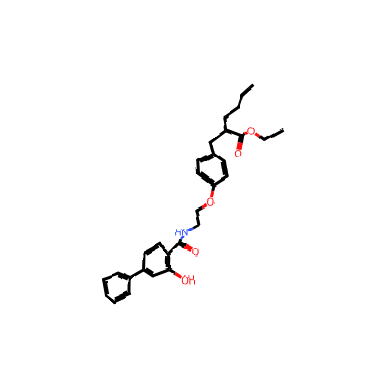 CCCCC(Cc1ccc(OCCNC(=O)c2ccc(-c3ccccc3)cc2O)cc1)C(=O)OCC